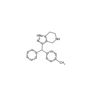 Cc1ccc(C(c2ccccc2)c2n[nH]c3c2CNCC3)cc1